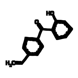 C=Cc1ccc(C(=O)c2ccccc2O)cc1